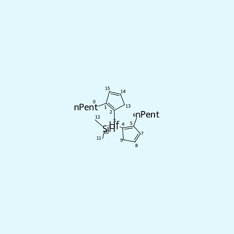 CCCCCC1=[C]([Hf]([C]2=C(CCCCC)C=CC2)[SiH](C)C)CC=C1